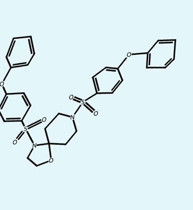 O=S(=O)(c1ccc(Oc2ccccc2)cc1)N1CCC2(CC1)OCCN2S(=O)(=O)c1ccc(Oc2ccccc2)cc1